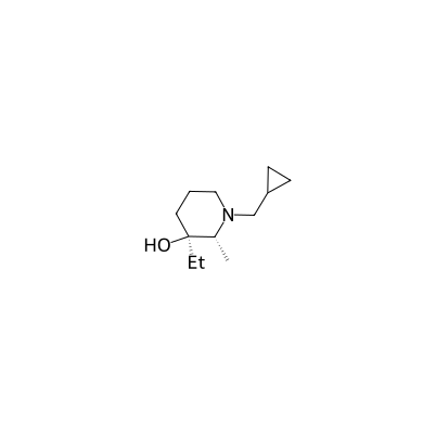 CC[C@]1(O)CCCN(CC2CC2)[C@@H]1C